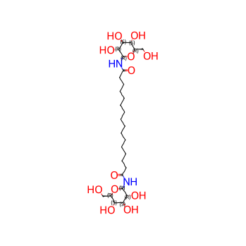 O=C(CCCCCCCCCCCCCCC(=O)N[C@@H]1O[C@H](CO)[C@@H](O)[C@H](O)[C@H]1O)N[C@@H]1O[C@H](CO)[C@@H](O)[C@H](O)[C@H]1O